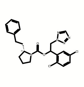 O=C(OC(Cn1ncnn1)c1cc(Cl)ccc1Cl)N1CCC[C@@H]1CCc1ccccc1